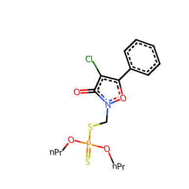 CCCOP(=S)(OCCC)SCn1oc(-c2ccccc2)c(Cl)c1=O